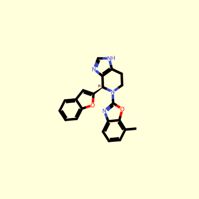 Cc1cccc2nc(N3CCc4[nH]cnc4[C@@H]3c3cc4ccccc4o3)oc12